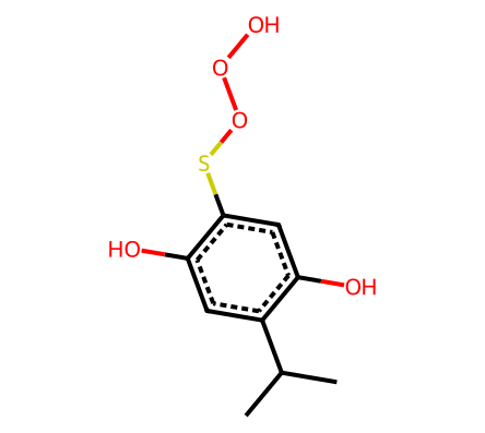 CC(C)c1cc(O)c(SOOO)cc1O